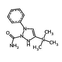 C[Si](C)(C)C1=CN(c2ccccc2)N(C(N)=O)N1